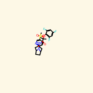 CC(C)(Oc1c(F)cc(F)cc1F)C(=O)NC1CC2CCC(C1)N2c1ccc(S(C)(=O)=O)cn1